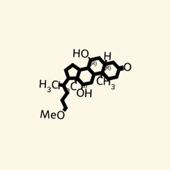 COCCCC(C)C1CCC2C3C(C[C@H](O)[C@]12C)[C@@]1(C)CCC(=O)C[C@H]1C[C@H]3O